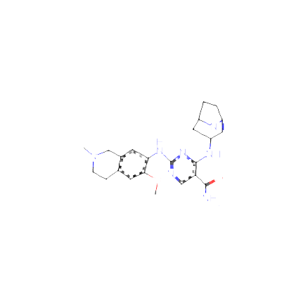 COc1cc2c(cc1Nc1ncc(C(N)=O)c(NC3CC4CCC(C3)N4)n1)CN(C)CC2